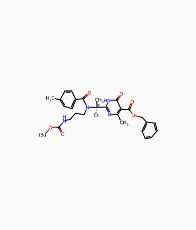 CC[C@](C)(c1nc(C)c(C(=O)OCc2ccccc2)c(=O)[nH]1)N(CCCNC(=O)OC(C)(C)C)C(=O)c1ccc(C)cc1